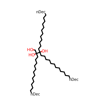 CCCCCCCCCCCCCCCCCCCCCCC(O)(CO)C(O)(CCCCCCCCCCCCCCCCCCCCCC)CCCCCCCCCCCCCCCCCCCCCC